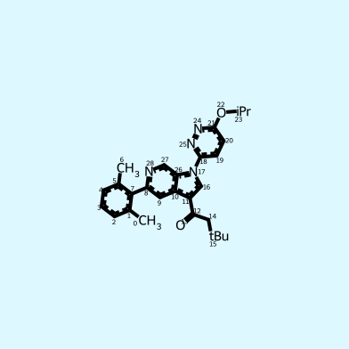 Cc1cccc(C)c1-c1cc2c(C(=O)CC(C)(C)C)cn(-c3ccc(OC(C)C)nn3)c2cn1